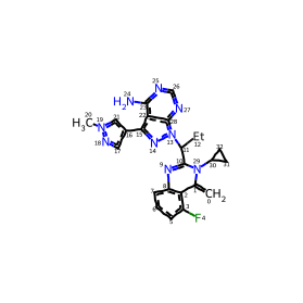 C=C1c2c(F)cccc2N=C(C(CC)n2nc(-c3cnn(C)c3)c3c(N)ncnc32)N1C1CC1